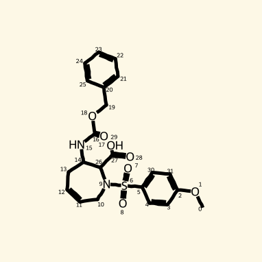 COc1ccc(S(=O)(=O)N2CC=CCC(NC(=O)OCc3ccccc3)C2C(=O)O)cc1